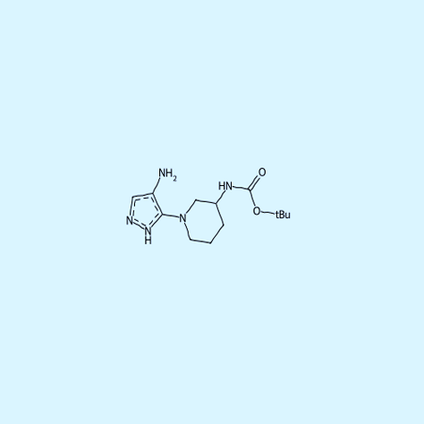 CC(C)(C)OC(=O)NC1CCCN(c2[nH]ncc2N)C1